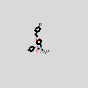 CCOC(=O)CN(Cc1ccc(OCCc2ccc(CC)cc2)cc1)C(=O)Oc1ccc(F)cc1